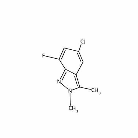 Cc1c2cc(Cl)cc(F)c2nn1C